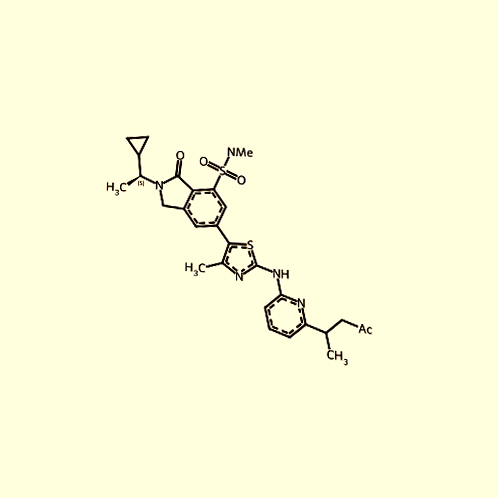 CNS(=O)(=O)c1cc(-c2sc(Nc3cccc(C(C)CC(C)=O)n3)nc2C)cc2c1C(=O)N([C@@H](C)C1CC1)C2